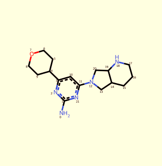 Nc1nc(C2CCOCC2)cc(N2CC3CCCNC3C2)n1